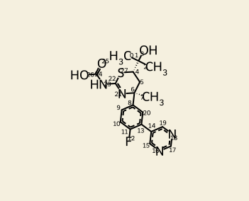 CC(C)(O)[C@@H]1C[C@@](C)(c2ccc(F)c(-c3cncnc3)c2)N=C(NC(=O)O)S1